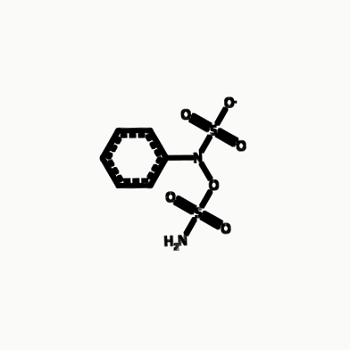 NS(=O)(=O)ON(c1ccccc1)S([O])(=O)=O